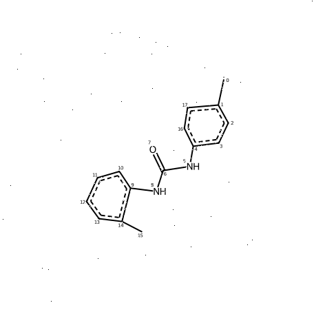 [CH2]c1ccc(NC(=O)Nc2ccccc2C)cc1